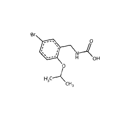 CC(C)Oc1ccc(Br)cc1CNC(=O)O